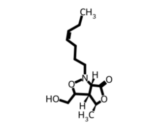 CC/C=C\CCCN1OC(CO)[C@H]2[C@H](C)OC(=O)[C@H]21